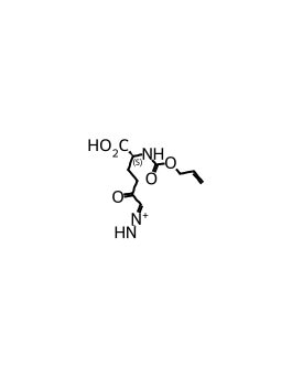 C=CCOC(=O)N[C@@H](CCC(=O)C=[N+]=N)C(=O)O